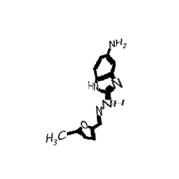 Cc1ccc(/C=N/Nc2nc3cc(N)ccc3[nH]2)o1